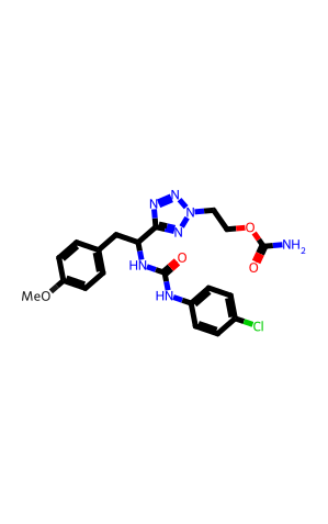 COc1ccc(CC(NC(=O)Nc2ccc(Cl)cc2)c2nnn(CCOC(N)=O)n2)cc1